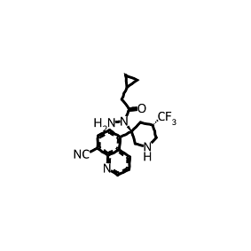 N#Cc1ccc([C@@]2(N(N)C(=O)CC3CC3)CNC[C@@H](C(F)(F)F)C2)c2cccnc12